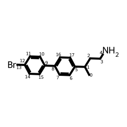 CC(CCN)c1ccc(-c2ccc(Br)cc2)cc1